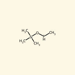 CPO[Si](C)(C)C